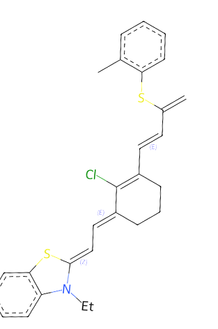 C=C(/C=C/C1=C(Cl)C(=C/C=C2\Sc3ccccc3N2CC)/CCC1)Sc1ccccc1C